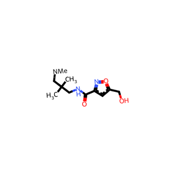 CNCC(C)(C)CNC(=O)c1cc(CO)on1